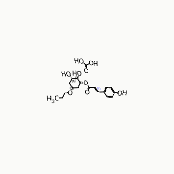 CCCO[C@H]1C[C@H](O)[C@@H](O)[C@H](OC(=O)/C=C/c2ccc(O)cc2)C1.O=C(O)O